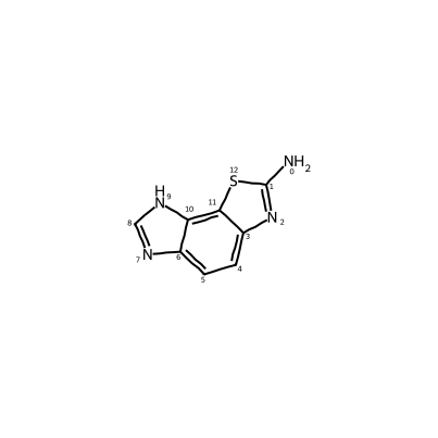 Nc1nc2ccc3nc[nH]c3c2s1